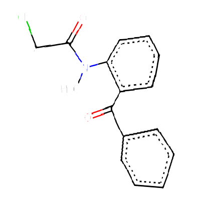 CN(C(=O)CCl)c1ccccc1C(=O)c1ccccc1